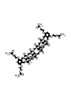 CC(=O)SCCOc1ccc(OCCSC(C)=O)c2c1CN1C(=O)N3CN4C(=O)N5CN6C(=O)N7CN8C(=O)N9Cc%10c(OCCSC(C)=O)ccc(OCCSC(C)=O)c%10CN%10C(=O)N(CN%11C(=O)N(CN%12C(=O)N(CN%13C(=O)N(C2)[C@]1(C)[C@]%133C)[C@@H]4[C@@H]5%12)[C@@H]6[C@@H]7%11)[C@]8(C)[C@]%109C